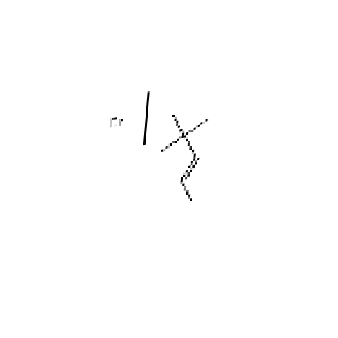 C/C=C/C(C)(C)CC(C)(C)Br